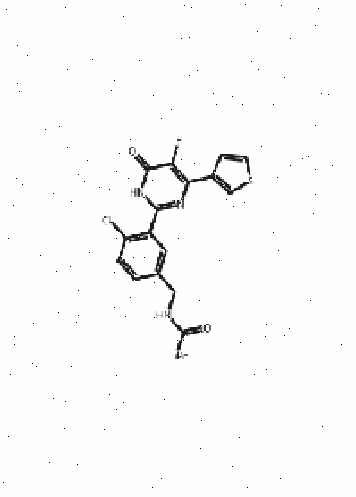 CC(C)C(=O)NCc1ccc(Cl)c(-c2nc(-c3ccsc3)c(F)c(=O)[nH]2)c1